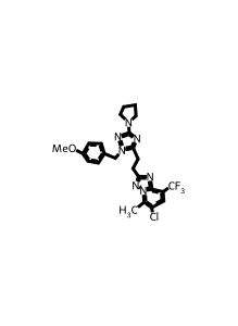 COc1ccc(Cn2nc(N3CCCC3)nc2CCc2nc3c(C(F)(F)F)cc(Cl)c(C)n3n2)cc1